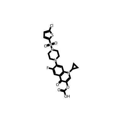 O=C(O)Oc1cn(C2CC2)c2cc(N3CCN(S(=O)(=O)c4ccc(Cl)s4)CC3)c(F)cc2c1=O